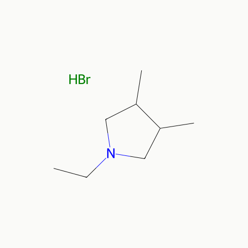 Br.CCN1CC(C)C(C)C1